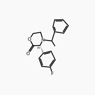 CC(c1ccccc1)N1CCOC(=O)[C@H]1c1ccc(F)cc1